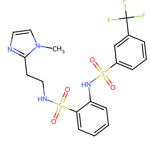 Cn1ccnc1CCNS(=O)(=O)c1ccccc1NS(=O)(=O)c1cccc(C(F)(F)F)c1